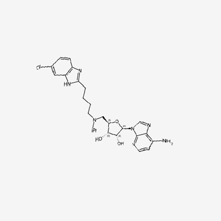 CC(C)N(CCCCc1nc2ccc(Cl)cc2[nH]1)C[C@H]1O[C@@H](n2cnc3c(N)ccnc32)[C@H](O)[C@@H]1O